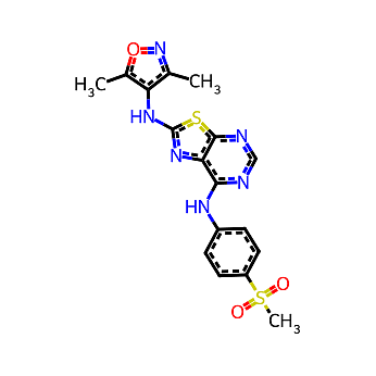 Cc1noc(C)c1Nc1nc2c(Nc3ccc(S(C)(=O)=O)cc3)ncnc2s1